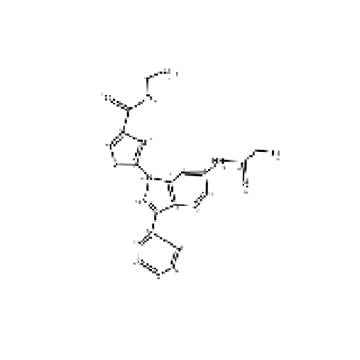 CCOC(=O)c1csc(-n2nc(-c3ccccc3)c3ccc(NC(=O)CC)cc32)n1